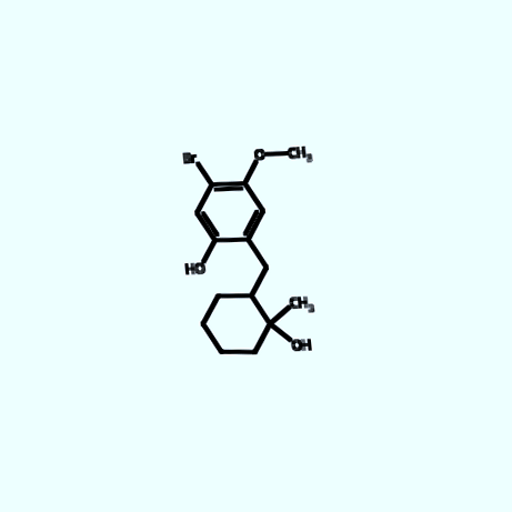 COc1cc(CC2CCCCC2(C)O)c(O)cc1Br